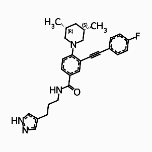 C[C@@H]1C[C@H](C)CN(c2ccc(C(=O)NCCCc3cn[nH]c3)cc2C#Cc2ccc(F)cc2)C1